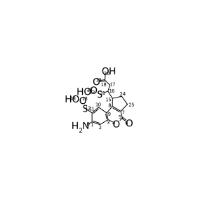 Nc1cc2oc(=O)c3c(c2cc1SOO)C(C(CC(=O)O)SOO)CC3